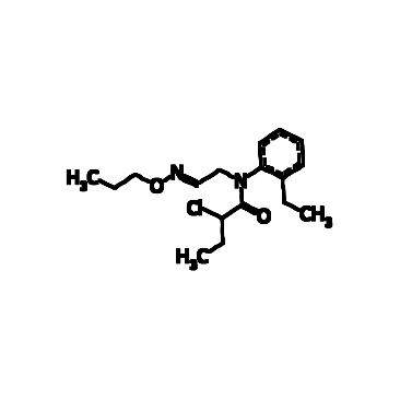 CCCON=CCN(C(=O)C(Cl)CC)c1ccccc1CC